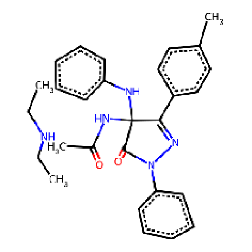 CC(=O)NC1(Nc2ccccc2)C(=O)N(c2ccccc2)N=C1c1ccc(C)cc1.CCNCC